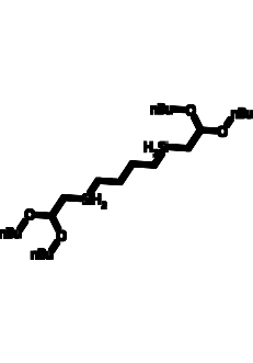 CCCCOC(C[SiH2]CCCC[SiH2]CC(OCCCC)OCCCC)OCCCC